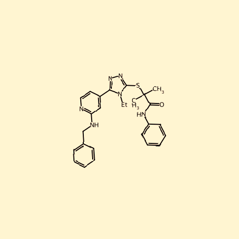 CCn1c(SC(C)(C)C(=O)Nc2ccccc2)nnc1-c1ccnc(NCc2ccccc2)c1